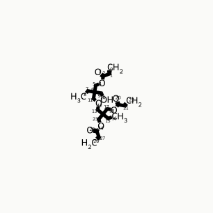 C=CC(=O)OCC(CC)(CO)COCC(CC)(COC(=O)C=C)COC(=O)C=C